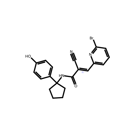 N#C/C(=C\c1cccc(Br)n1)C(=O)NC1(c2ccc(O)cc2)CCCC1